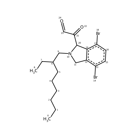 CCCCCCC(CC)CN1Cc2c(Br)ccc(Br)c2C1C(=O)C=O